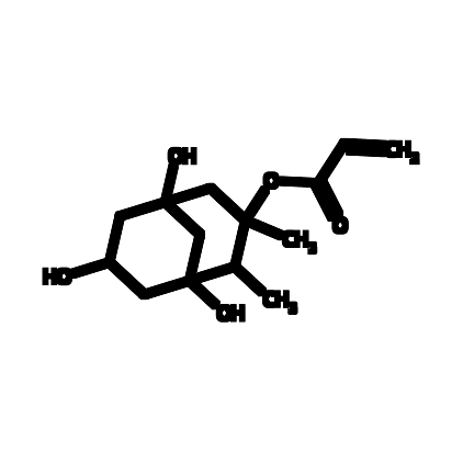 C=CC(=O)OC1(C)CC2(O)CC(O)CC(O)(C2)C1C